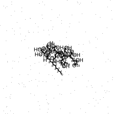 CCCCCCCCCCCC(=O)NC(C(=O)NC(CO)C(=O)NC(CO)C(=O)NC(CCC(N)=O)C(=O)NC(CCCN(O)C(C)=O)C(=O)NC(CO)C(=O)NC(CCCN(O)C(C)=O)C(=O)O)C(O)C(=O)O